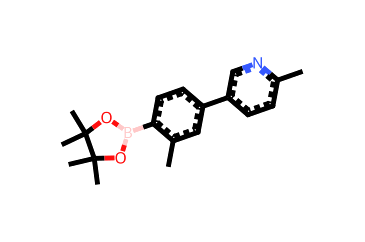 Cc1ccc(-c2ccc(B3OC(C)(C)C(C)(C)O3)c(C)c2)cn1